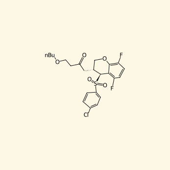 CCCCOCCC(=O)C[C@@H]1COc2c(F)ccc(F)c2[C@H]1S(=O)(=O)c1ccc(Cl)cc1